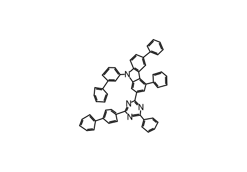 c1ccc(-c2ccc(-c3nc(-c4ccccc4)nc(-c4cc(-c5ccccc5)c5c6cc(-c7ccccc7)ccc6n(-c6cccc(-c7ccccc7)c6)c5c4)n3)cc2)cc1